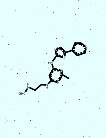 Cc1nc(NCCNC=O)cc(Nc2ncc(-c3ccncc3)s2)n1